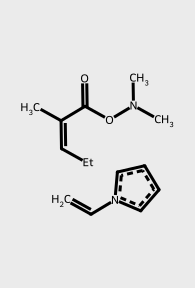 C=Cn1cccc1.CCC=C(C)C(=O)ON(C)C